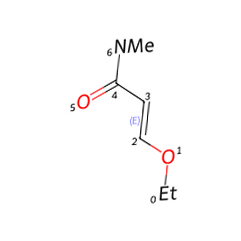 CCO/C=C/C(=O)NC